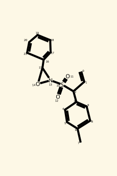 C=CC(c1ccc(C)cc1)S(=O)(=O)N1OC1c1ccccc1